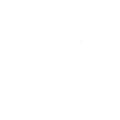 CCC=CCCC(CCC=CCC)(CCC=CCC)C(O)(O)O